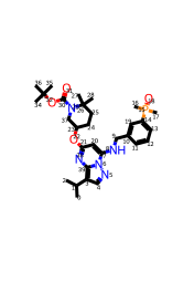 CC(C)c1cnn2c(NCc3cccc(P(C)(C)=O)c3)cc(OC3CCC(C)(C)N(C(=O)OC(C)(C)C)C3)nc12